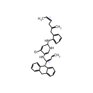 C=C/C=C(\NC1=CNC(Nc2ccccc2CC(=C)C/C=C\C)C=C1CC)N1c2ccccc2Cc2ccccc21